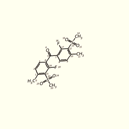 Cc1ccc(C(=O)c2ccc(C)c(S(C)(=O)=O)c2F)c(F)c1S(C)(=O)=O